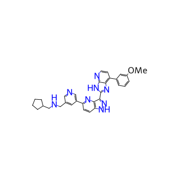 COc1cccc(-c2ccnc3[nH]c(-c4n[nH]c5ccc(-c6cncc(CNCC7CCCC7)c6)nc45)nc23)c1